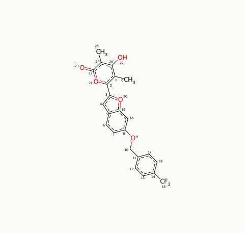 Cc1c(-c2cc3ccc(OCc4ccc(C(F)(F)F)cc4)cc3o2)oc(=O)c(C)c1O